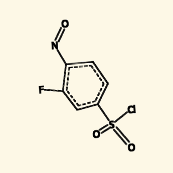 O=Nc1ccc(S(=O)(=O)Cl)cc1F